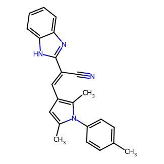 Cc1ccc(-n2c(C)cc(/C=C(\C#N)c3nc4ccccc4[nH]3)c2C)cc1